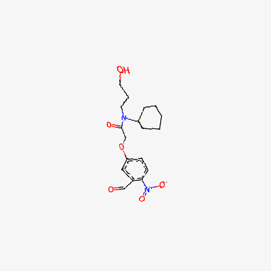 O=Cc1cc(OCC(=O)N(CCCO)C2CCCCC2)ccc1[N+](=O)[O-]